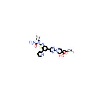 CCCC1(C(=O)O)CCN(c2ncc(-c3cc(-c4ccccn4)c4sc(N(CC)C(N)=O)nc4c3)cn2)CC1